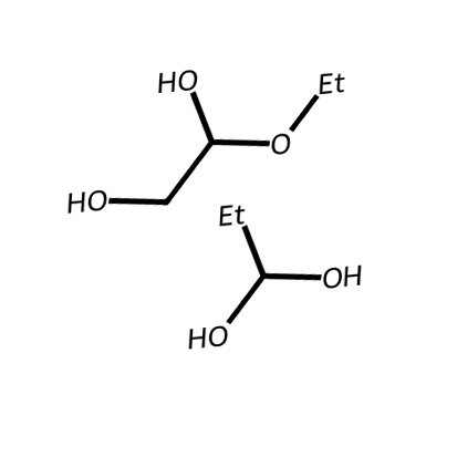 CCC(O)O.CCOC(O)CO